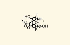 CCOC(=O)c1cn(-c2cc(N)c(F)cc2CO)c2c(OC)c(N3CC(O)C3)c(F)cc2c1=O